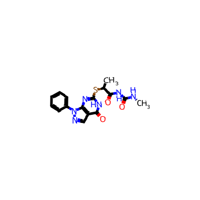 CNC(=O)NC(=O)C(C)Sc1nc2c(cnn2-c2ccccc2)c(=O)[nH]1